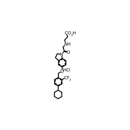 Cl.O=C(O)CCNCC(=O)N1CCc2cc(OCc3ccc(C4CCCCC4)cc3C(F)(F)F)ccc21